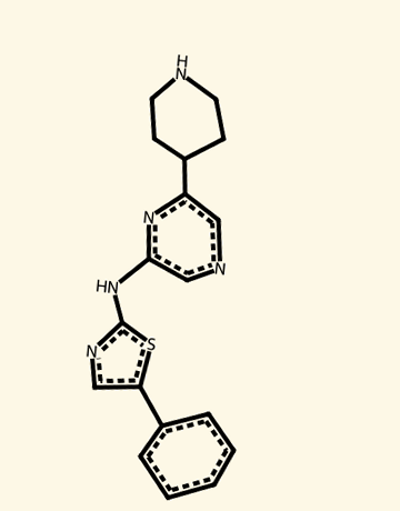 c1ccc(-c2cnc(Nc3cncc(C4CCNCC4)n3)s2)cc1